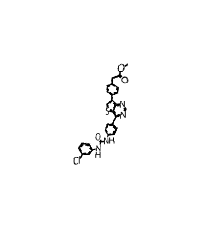 COC(=O)Cc1ccc(-c2csc3c(-c4ccc(NC(=O)Nc5cccc(Cl)c5)cc4)ncnc23)cc1